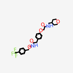 O=C(COc1ccc(CC(=O)NOCc2ccc(C(F)(F)F)cc2)cc1)NCC1CCOCC1